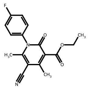 CCOC(=O)c1c(C)c(C#N)c(C)n(-c2ccc(F)cc2)c1=O